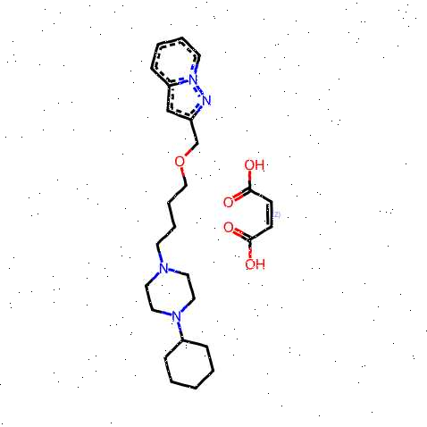 O=C(O)/C=C\C(=O)O.c1ccn2nc(COCCCCN3CCN(C4CCCCC4)CC3)cc2c1